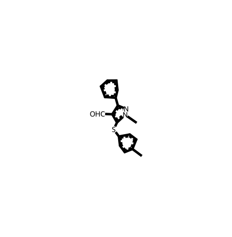 Cc1ccc(Sc2c(C=O)c(-c3ccccc3)nn2C)cc1